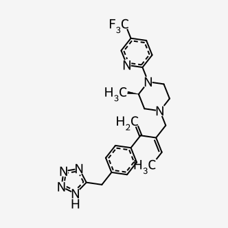 C=C(/C(=C\C)CN1CCN(c2ccc(C(F)(F)F)cn2)[C@H](C)C1)c1ccc(Cc2nnn[nH]2)cc1